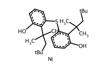 CC(C)(C)CC(C)(C)c1c(O)cccc1Sc1cccc(O)c1C(C)(C)CC(C)(C)C.[Ni]